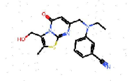 CCN(Cc1cc(=O)n2c(CO)c(C)sc2n1)c1cccc(C#N)c1